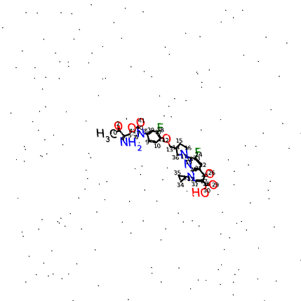 CC(=O)[C@@H](N)[C@H]1CN(c2ccc(OCC3CCN(c4nc5c(cc4F)c(=O)c(C(=O)O)cn5C4CC4)C3)c(F)c2)C(=O)O1